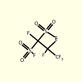 O=S(=O)(F)C(F)(C(F)(F)C(F)(F)F)S(=O)(=O)F